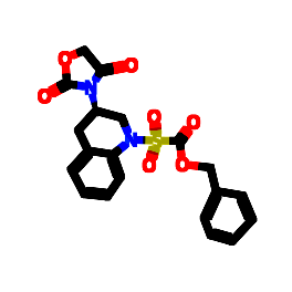 O=C1COC(=O)N1[C@@H]1Cc2ccccc2N(S(=O)(=O)C(=O)OCc2ccccc2)C1